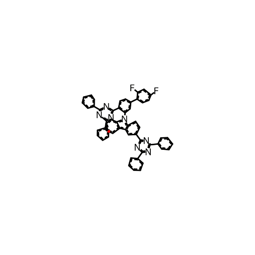 Fc1ccc(-c2ccc(-c3nc(-c4ccccc4)nc(-c4ccccc4)n3)c(-n3c4ccccc4c4cc(-c5nc(-c6ccccc6)nc(-c6ccccc6)n5)ccc43)c2)c(F)c1